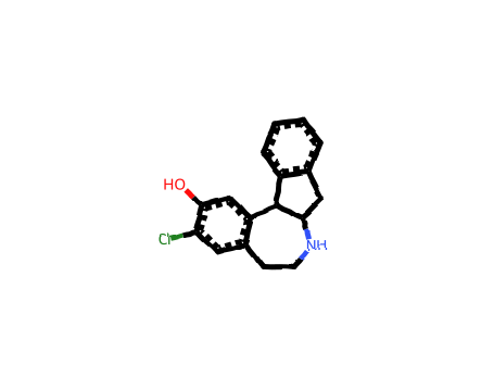 Oc1cc2c(cc1Cl)CCNC1Cc3ccccc3C21